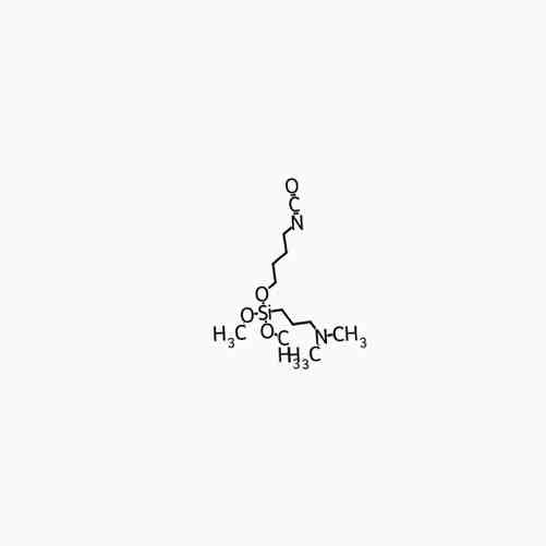 CO[Si](CCCN(C)C)(OC)OCCCCN=C=O